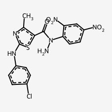 Cc1nc(Nc2ccc(Cl)cc2)sc1C(=O)N(N)c1ccc([N+](=O)[O-])cc1[N+](=O)[O-]